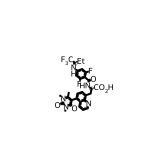 CC[C@@H](Nc1cc(F)c(C(=O)N[C@@H](Cc2ccc(-c3c(C)n(C)c(=O)n(C)c3=O)c3cccnc23)C(=O)O)c(F)c1)C(F)(F)F